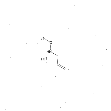 C=CCNOCC.Cl